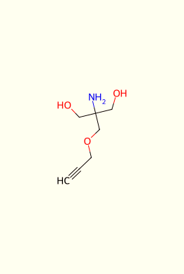 C#CCOCC(N)(CO)CO